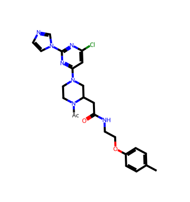 CC(=O)N1CCN(c2cc(Cl)nc(-n3ccnc3)n2)CC1CC(=O)NCCOc1ccc(C)cc1